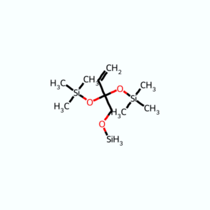 C=CC(CO[SiH3])(O[Si](C)(C)C)O[Si](C)(C)C